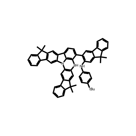 CC(C)(C)c1ccc(Nc2cc3c(cc2-c2ccc4c5cc6c(cc5n5c4c2Bc2cc4c(cc2-5)-c2ccccc2C4(C)C)-c2ccccc2C6(C)C)-c2ccccc2C3(C)C)cc1